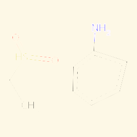 CC[SH](=O)=O.Nc1ccccc1